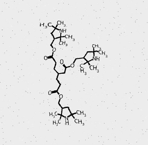 CC1(C)CC(COC(=O)CCC(CCC(=O)OCC2CC(C)(C)NC2(C)C)CC(=O)OCC2CC(C)(C)NC2(C)C)C(C)(C)N1